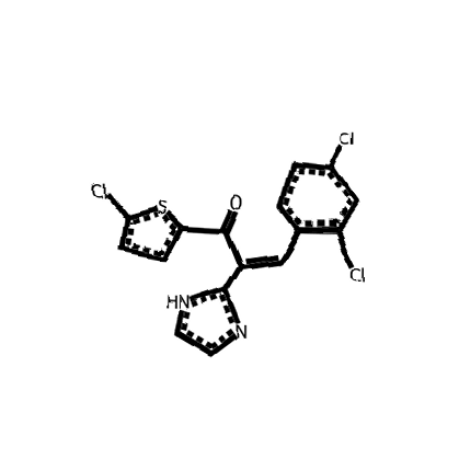 O=C(C(=Cc1ccc(Cl)cc1Cl)c1ncc[nH]1)c1ccc(Cl)s1